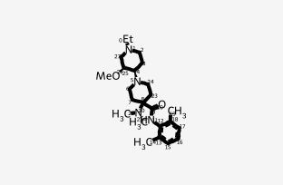 CCN1CC[C@@H](N2CCC(C(=O)Nc3c(C)cccc3C)(N(C)C)CC2)[C@@H](OC)C1